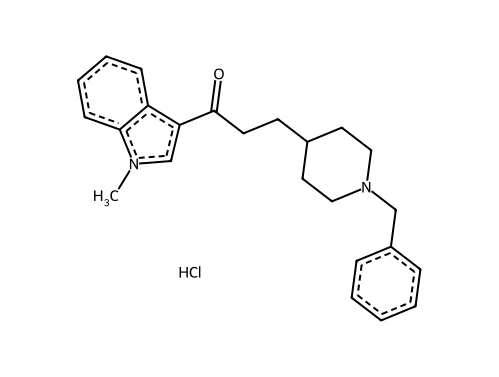 Cl.Cn1cc(C(=O)CCC2CCN(Cc3ccccc3)CC2)c2ccccc21